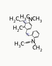 C=C/C=c1/c(N(C)C)ccc(/C=C\c2ccccc2N(C#CC)C=C)c1=C